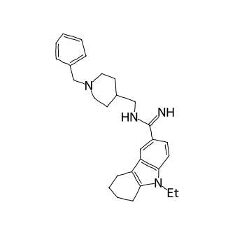 CCn1c2c(c3cc(C(=N)NCC4CCN(Cc5ccccc5)CC4)ccc31)CCCC2